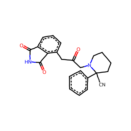 N#CC1(c2ccccc2)CCCCN1CC(=O)Cc1cccc2c1C(=O)NC2=O